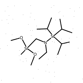 CCN(C[Si](C)(OC)OC)[Si](C(C)C)(C(C)C)C(C)C